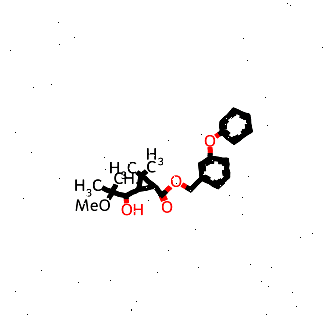 COC(C)(C)C(O)C1C(C(=O)OCc2cccc(Oc3ccccc3)c2)C1(C)C